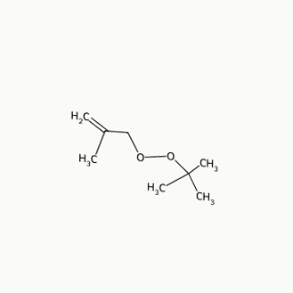 C=C(C)COOC(C)(C)C